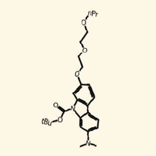 CCCOCCOCCOc1ccc2c3ccc(N(C)C)cc3n(C(=O)OC(C)(C)C)c2c1